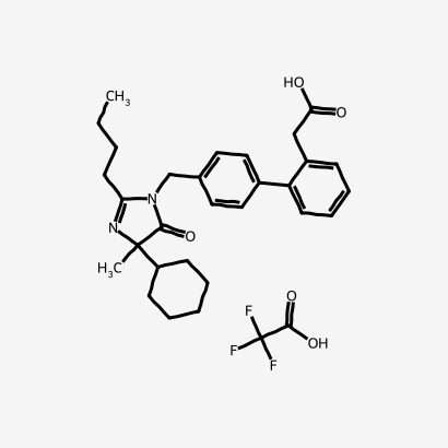 CCCCC1=NC(C)(C2CCCCC2)C(=O)N1Cc1ccc(-c2ccccc2CC(=O)O)cc1.O=C(O)C(F)(F)F